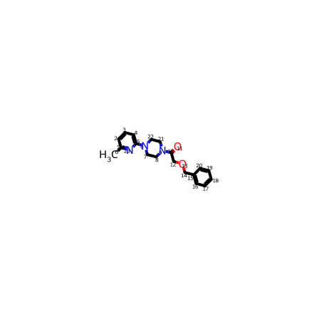 Cc1cccc(N2CCN(C(=O)COCc3ccccc3)CC2)n1